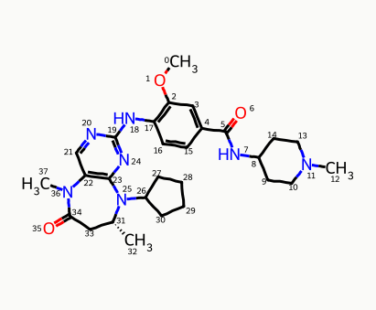 COc1cc(C(=O)NC2CCN(C)CC2)ccc1Nc1ncc2c(n1)N(C1CCCC1)[C@H](C)CC(=O)N2C